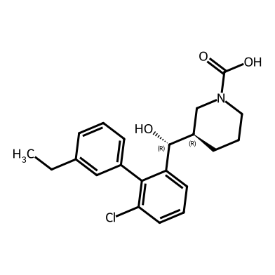 CCc1cccc(-c2c(Cl)cccc2[C@H](O)[C@@H]2CCCN(C(=O)O)C2)c1